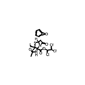 CC(=O)NC1(C(=O)OC(Cl)C(Cl)Cl)N2C(=O)C[C@H]2SC1(C)CI.c1ccc2c(c1)O2